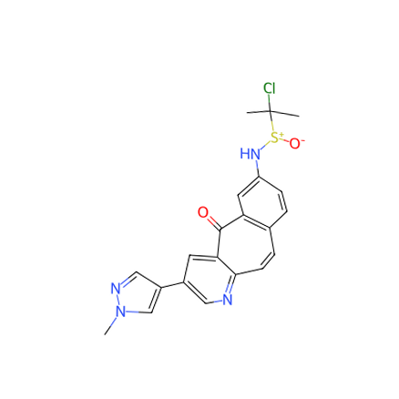 Cn1cc(-c2cnc3ccc4ccc(N[S+]([O-])C(C)(C)Cl)cc4c(=O)c3c2)cn1